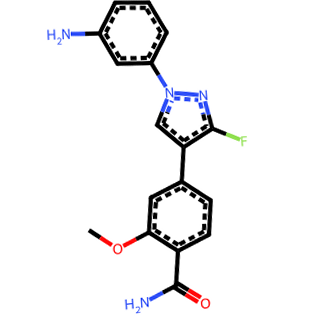 COc1cc(-c2cn(-c3cccc(N)c3)nc2F)ccc1C(N)=O